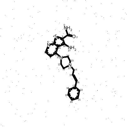 NC(=O)c1sc2nccc(N3CCN(CC=Cc4ccccc4)CC3)c2c1N